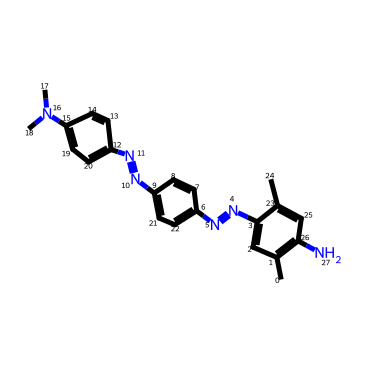 Cc1cc(N=Nc2ccc(N=Nc3ccc(N(C)C)cc3)cc2)c(C)cc1N